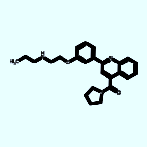 CCCNCCOc1cccc(-c2cc(C(=O)N3CCCC3)c3ccccc3n2)c1